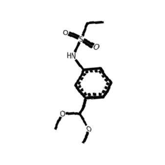 CCS(=O)(=O)Nc1cccc(C(OC)OC)c1